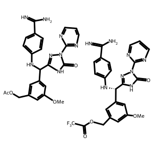 COc1cc(COC(=O)C(F)(F)F)cc([C@H](Nc2ccc(C(=N)N)cc2)c2nn(-c3ncccn3)c(=O)[nH]2)c1.COc1cc(COC(C)=O)cc(C(Nc2ccc(C(=N)N)cc2)c2nn(-c3ncccn3)c(=O)[nH]2)c1